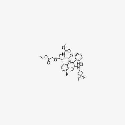 CCOC(=O)CO[C@@H]1C[C@@H](C(=O)N(c2cccc(F)c2)[C@H](C(=O)NC2CC(F)(F)C2)c2ccccc2Cl)N(C(=O)OC)C1